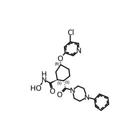 O=C(NO)[C@H]1C[C@H](Oc2cncc(Cl)c2)CC[C@@H]1C(=O)N1CCN(c2ccccc2)CC1